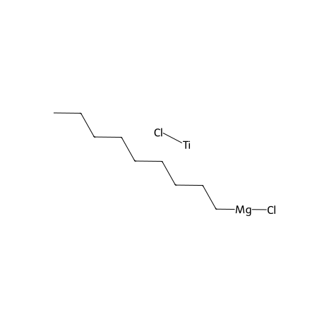 CCCCCCCC[CH2][Mg][Cl].[Cl][Ti]